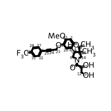 COc1ccc([C@@H]2CN(C(=O)[C@H](O)CO)C[C@@]2(C)[C@@H](C)O)cc1OCC#Cc1ccc(C(F)(F)F)cc1